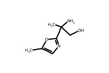 Cc1cnc(C(C)(N)CO)o1